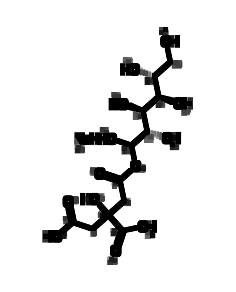 O=C(O)CC(O)(CC(=O)OC(O)[C@@H](O)[C@@H](O)[C@H](O)[C@H](O)CO)C(=O)O.[NaH]